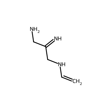 C=CNCC(=N)CN